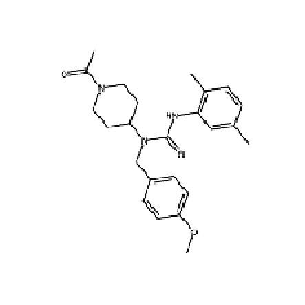 COc1ccc(CN(C(=O)Nc2cc(C)ccc2C)C2CCN(C(C)=O)CC2)cc1